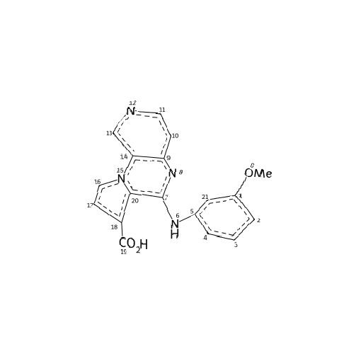 COc1cccc(Nc2nc3ccncc3n3ccc(C(=O)O)c23)c1